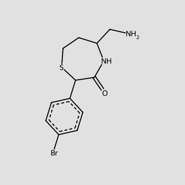 NCC1CCSC(c2ccc(Br)cc2)C(=O)N1